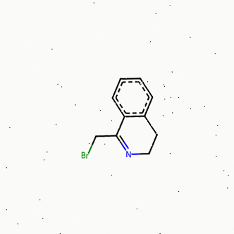 BrCC1=NCCc2ccccc21